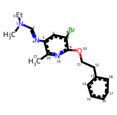 CCN(C)/C=N/c1cc(Br)c(OCCc2ccccc2)nc1C